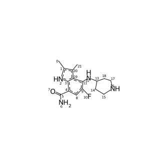 Cc1[nH]c2c(C(N)=O)cc(F)c(NC3CCNCC3)c2c1C